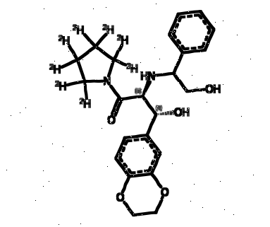 [2H]C1([2H])N(C(=O)[C@@H](NC(CO)c2ccccc2)[C@H](O)c2ccc3c(c2)OCCO3)C([2H])([2H])C([2H])([2H])C1([2H])[2H]